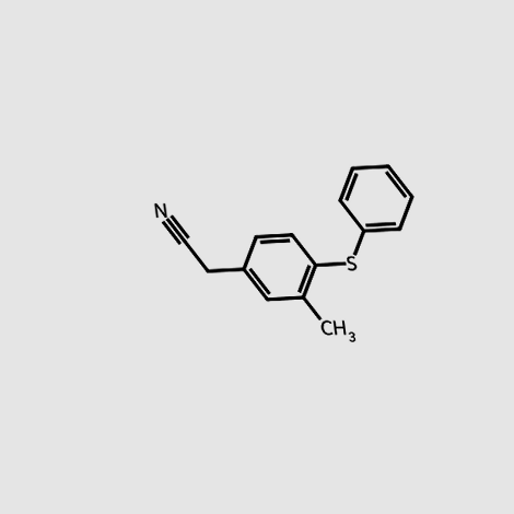 Cc1cc(CC#N)ccc1Sc1ccccc1